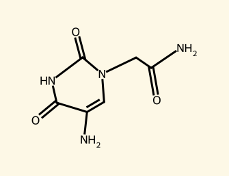 NC(=O)Cn1cc(N)c(=O)[nH]c1=O